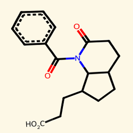 O=C(O)CCC1CCC2CCC(=O)N(C(=O)c3ccccc3)C12